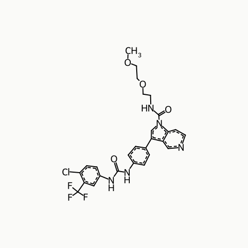 COCCOCCNC(=O)n1cc(-c2ccc(NC(=O)Nc3ccc(Cl)c(C(F)(F)F)c3)cc2)c2cnccc21